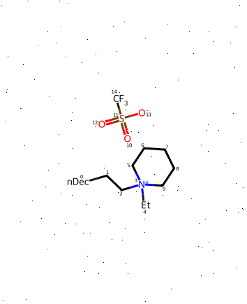 CCCCCCCCCCCC[N+]1(CC)CCCCC1.O=S(=O)([O-])C(F)(F)F